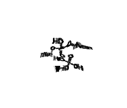 CCCCCCCCCOP(=O)(O)OCCCCCCCCC.O=P(O)(O)O